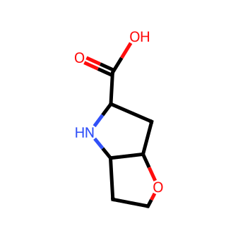 O=C(O)C1CC2OCCC2N1